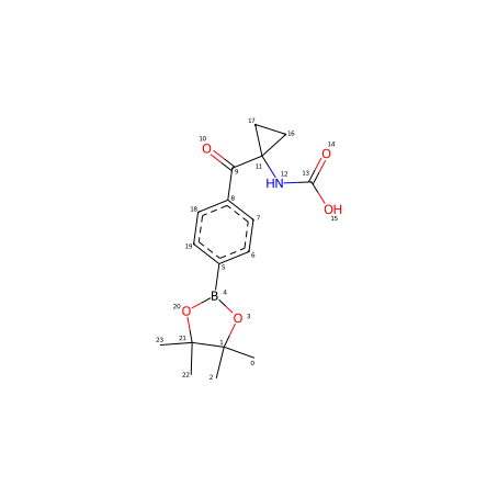 CC1(C)OB(c2ccc(C(=O)C3(NC(=O)O)CC3)cc2)OC1(C)C